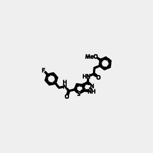 COc1ccccc1CC(=O)Nc1n[nH]c2sc(C(=O)NCc3ccc(F)cc3)cc12